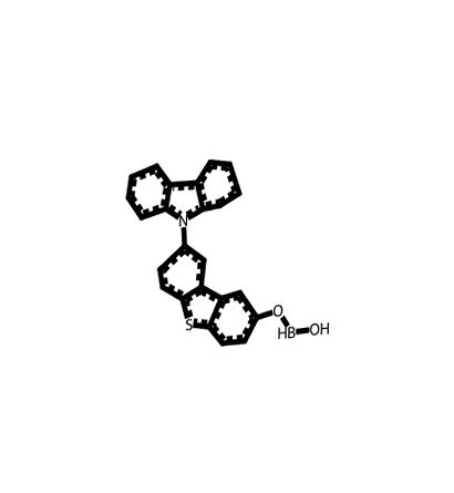 OBOc1ccc2sc3ccc(-n4c5ccccc5c5ccccc54)cc3c2c1